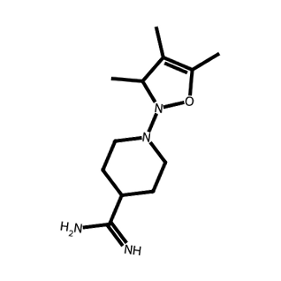 CC1=C(C)C(C)N(N2CCC(C(=N)N)CC2)O1